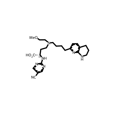 COCCN(CCCCc1ccc2c(n1)NCCC2)CC[C@H](Nc1ncc(C#N)cn1)C(=O)O